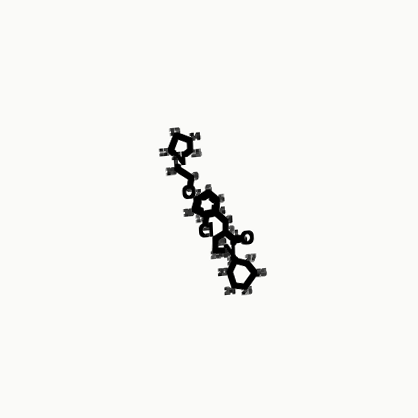 O=C1C(Cc2ccc(OCCN3CCCC3)cc2Cl)CCN1C1CCCCC1